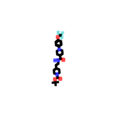 CC(C)(C)OC(=O)N1CCC(CCNC(=O)C2CCN(c3ccc(OC(F)(F)F)cc3)CC2)CC1